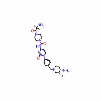 CCC1CN(Cc2ccc(-n3ccc(NC(=O)N4CCN(C(=O)C(C)(C)N)CC4)nc3=O)cc2)CC[C@H]1N